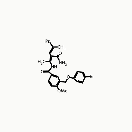 COc1ccc(C(=O)N/C(C)=C(/C=C(\C)C(C)C)C(N)=O)cc1COc1ccc(Br)cc1